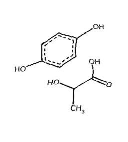 CC(O)C(=O)O.Oc1ccc(O)cc1